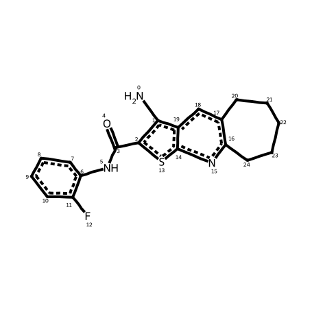 Nc1c(C(=O)Nc2ccccc2F)sc2nc3c(cc12)CCCCC3